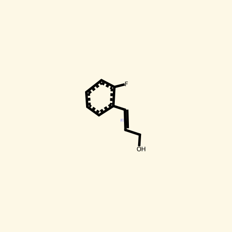 OC/C=C/c1ccccc1F